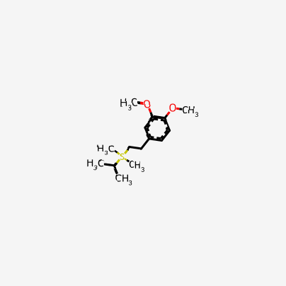 COc1ccc(CCS(C)(C)C(C)C)cc1OC